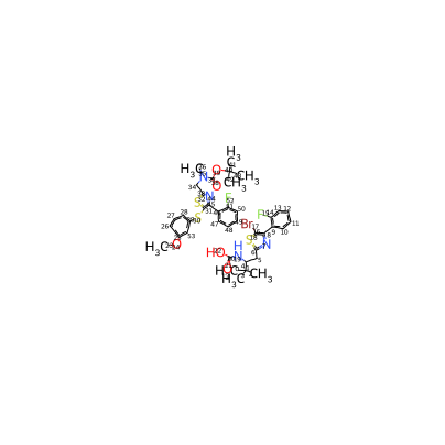 CC(C)(C)C(Cc1nc(-c2ccccc2F)c(Br)s1)NC(=O)O.COc1cccc(Sc2sc(CN(C)C(=O)OC(C)(C)C)nc2-c2ccccc2F)c1